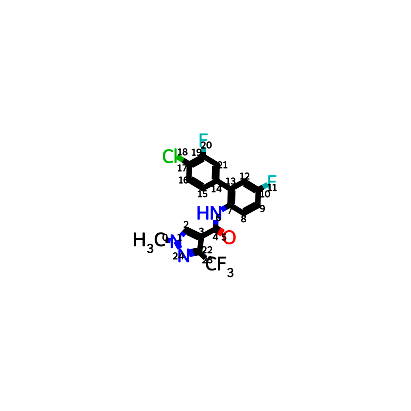 Cn1cc(C(=O)Nc2ccc(F)cc2-c2ccc(Cl)c(F)c2)c(C(F)(F)F)n1